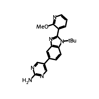 COc1ncccc1-c1nc2cc(-c3cnc(N)nc3)ccc2n1C(C)(C)C